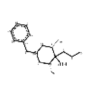 CCCC1(O)[C@H](C)CN(Cc2ccccc2)C[C@@H]1C